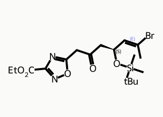 CCOC(=O)c1noc(CC(=O)C[C@@H](/C=C(\C)Br)O[Si](C)(C)C(C)(C)C)n1